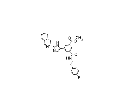 COC(=O)c1cc(C(=O)NCCc2ccc(F)cc2)cc(-c2cnc(-c3cc4ccccc4cn3)[nH]2)c1